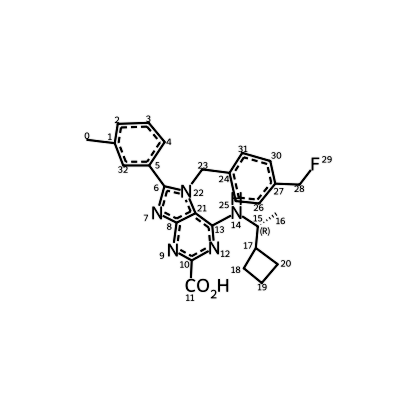 Cc1cccc(-c2nc3nc(C(=O)O)nc(N[C@H](C)C4CCC4)c3n2Cc2ccc(CF)cc2)c1